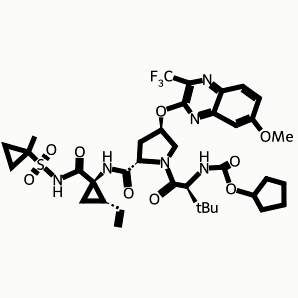 C=C[C@@H]1C[C@]1(NC(=O)[C@@H]1C[C@@H](Oc2nc3cc(OC)ccc3nc2C(F)(F)F)CN1C(=O)[C@@H](NC(=O)OC1CCCC1)C(C)(C)C)C(=O)NS(=O)(=O)C1(C)CC1